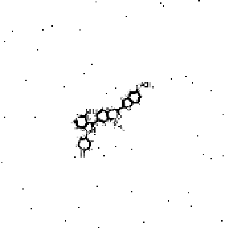 COc1ccc2oc(C(=O)Nc3ccc(-c4nn(C5CCNCC5)c5ccnc(N)c45)cc3OC)cc2c1